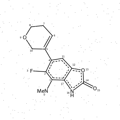 CNc1c(F)c(C2=CCCOC2)cc2oc(=O)[nH]c12